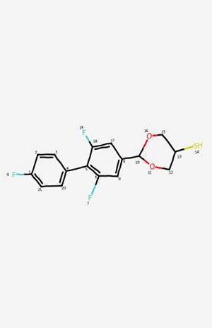 Fc1ccc(-c2c(F)cc(C3OCC(S)CO3)cc2F)cc1